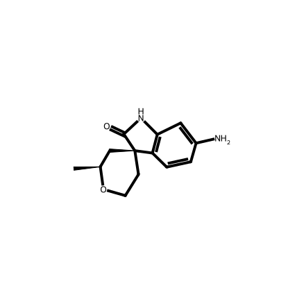 C[C@H]1C[C@@]2(CCO1)C(=O)Nc1cc(N)ccc12